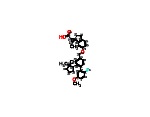 COc1ccc(F)c(-c2ccc(COc3ccc4c(c3)[C@@]3(CC4)[C@H](C)[C@@H]3C(=O)O)cc2[C@@H]2CCCC2(C)C)c1